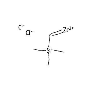 C[Si](C)(C)[CH]=[Zr+2].[Cl-].[Cl-]